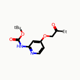 CCC(=O)COc1ccnc(NC(=O)OC(C)(C)C)c1